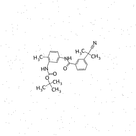 Cc1ccc(NC(=O)c2cccc(C(C)(C)C#N)c2)cc1NC(=O)OC(C)(C)C